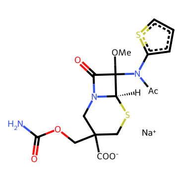 COC1(N(C(C)=O)c2cccs2)C(=O)N2CC(COC(N)=O)(C(=O)[O-])CS[C@@H]21.[Na+]